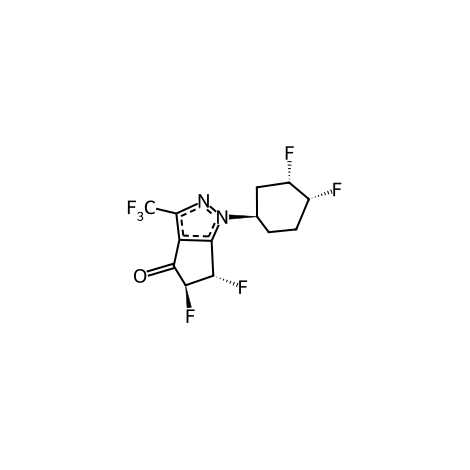 O=C1c2c(C(F)(F)F)nn([C@@H]3CC[C@@H](F)[C@@H](F)C3)c2[C@H](F)[C@H]1F